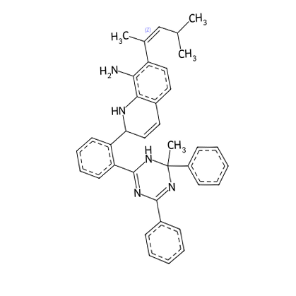 C/C(=C/C(C)C)c1ccc2c(c1N)NC(c1ccccc1C1=NC(c3ccccc3)=NC(C)(c3ccccc3)N1)C=C2